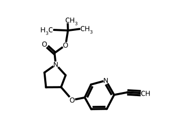 C#Cc1ccc(OC2CCN(C(=O)OC(C)(C)C)C2)cn1